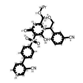 COCC(c1cccc(C#N)c1)n1c(COC(C)C)nc(=O)c(S(=O)(=O)c2ccc(-c3ccncc3C#N)cc2)c1O